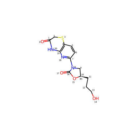 O=C1CSc2ccc(N3C[C@@H](CCCO)OC3=O)nc2N1